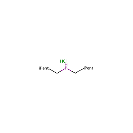 CCCC(C)CPCC(C)CCC.Cl